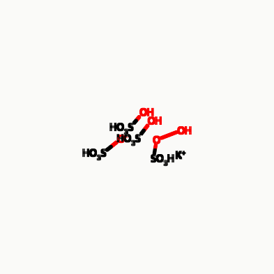 O=S(=O)(O)O.O=S(=O)(O)O.O=S(=O)(O)OO.O=S(=O)([O-])O.[K+]